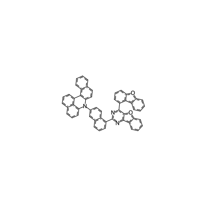 c1cc(-c2nc(-c3cccc4oc5ccccc5c34)c3oc4ccccc4c3n2)c2ccc(N3c4ccc5ccccc5c4-c4cccc5cccc3c45)cc2c1